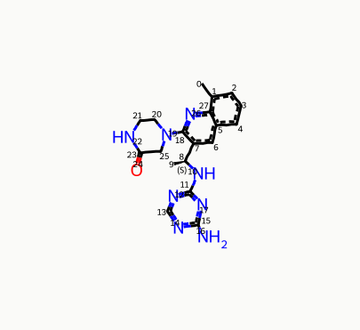 Cc1cccc2cc([C@H](C)Nc3ncnc(N)n3)c(N3CCNC(=O)C3)nc12